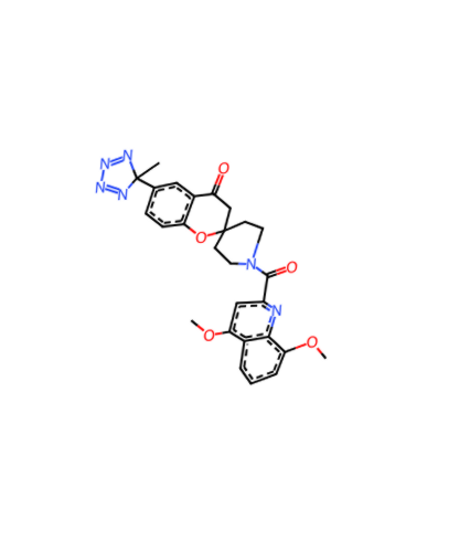 COc1cc(C(=O)N2CCC3(CC2)CC(=O)c2cc(C4(C)N=NN=N4)ccc2O3)nc2c(OC)cccc12